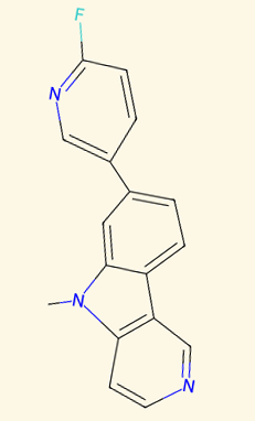 Cn1c2ccncc2c2ccc(-c3ccc(F)nc3)cc21